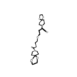 O=C(CCCOCCC(=O)N1CCC2(CC1)OCCO2)N1CCC2(CC1)OCCO2